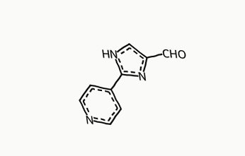 O=Cc1c[nH]c(-c2ccncc2)n1